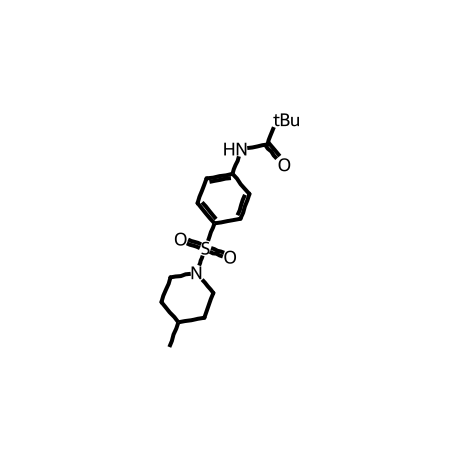 CC1CCN(S(=O)(=O)c2ccc(NC(=O)C(C)(C)C)cc2)CC1